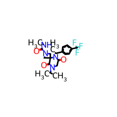 CNC(=O)N1CC2(C1)C(=O)N(C(C)C)CC(=O)N2C(C)c1ccc(C(F)(F)F)cc1